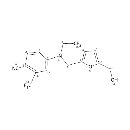 N#Cc1ccc(N(Cc2ccc(CO)o2)CC(F)(F)F)cc1C(F)(F)F